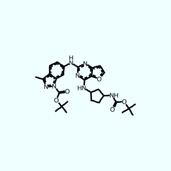 Cc1nn(C(=O)OC(C)(C)C)c2cc(Nc3nc(NC4CCC(NC(=O)OC(C)(C)C)C4)c4occc4n3)ccc12